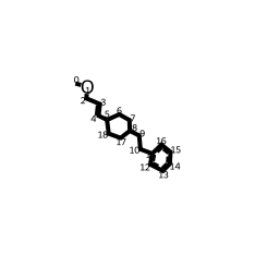 COC/C=C/C1CCC(CCc2ccccc2)CC1